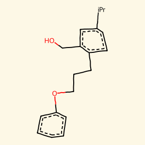 CC(C)c1ccc(CCCOc2ccccc2)c(CO)c1